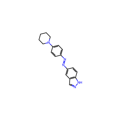 c1cc(N2CCCCC2)ccc1N=Nc1ccc2[nH]ncc2c1